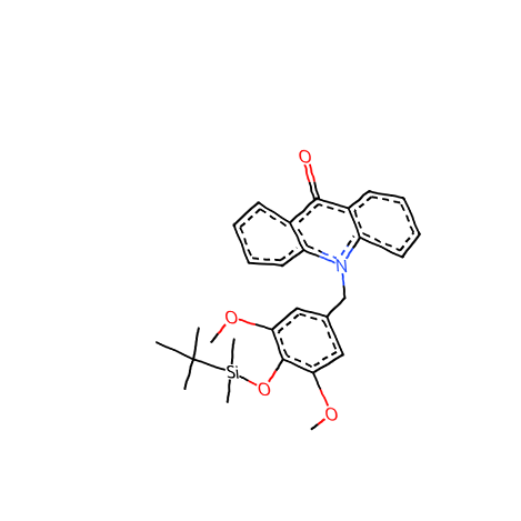 COc1cc(Cn2c3ccccc3c(=O)c3ccccc32)cc(OC)c1O[Si](C)(C)C(C)(C)C